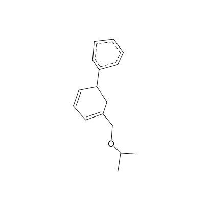 CC(C)OCC1=CC=CC(c2ccccc2)C1